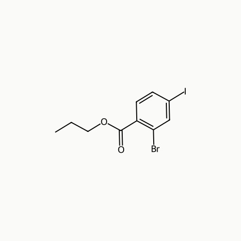 CCCOC(=O)c1ccc(I)cc1Br